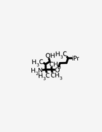 CC(C)C(C)CCOC(C)(C)C(C)(N)C(C)CO